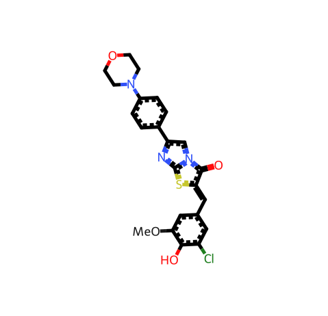 COc1cc(/C=c2\sc3nc(-c4ccc(N5CCOCC5)cc4)cn3c2=O)cc(Cl)c1O